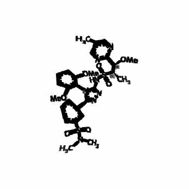 COc1cccc(OC)c1-n1c(NS(=O)(=O)[C@@H](C)[C@H](OC)c2ncc(C)cn2)nnc1-c1cccc(S(=O)(=O)N(C)C)c1